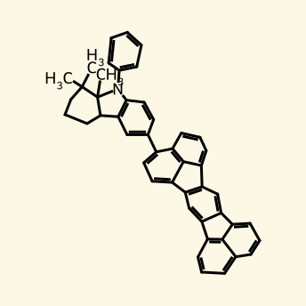 CC1(C)CCCC2c3cc(-c4ccc5c6cc7c(cc6c6cccc4c65)c4cccc5cccc7c54)ccc3N(c3ccccc3)C21C